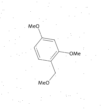 COCc1ccc(OC)cc1OC